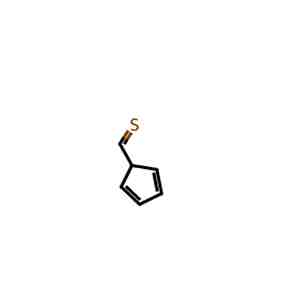 S=CC1C=CC=C1